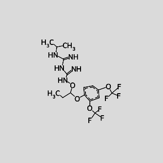 CCC(ONC(=N)NC(=N)NC(C)C)Oc1ccc(OC(F)(F)F)cc1OC(F)(F)F